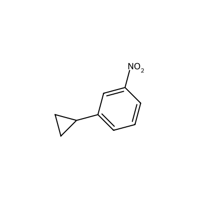 O=[N+]([O-])c1cccc(C2CC2)c1